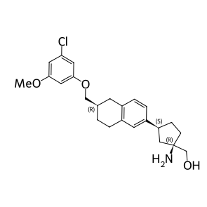 COc1cc(Cl)cc(OC[C@@H]2CCc3cc([C@H]4CC[C@](N)(CO)C4)ccc3C2)c1